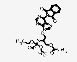 CCOC(OCC)(P=O)SC(COC(C)=O)COn1cnc2c(N3C(=O)c4ccccc4C3=O)ncnc21